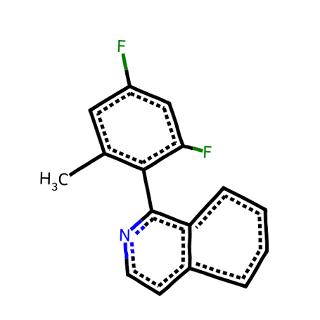 Cc1cc(F)cc(F)c1-c1nccc2ccccc12